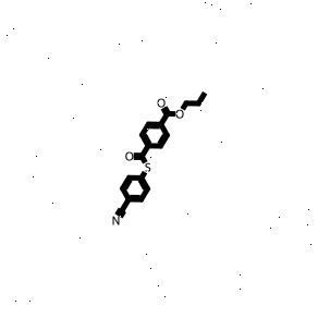 CCCOC(=O)c1ccc(C(=O)Sc2ccc(C#N)cc2)cc1